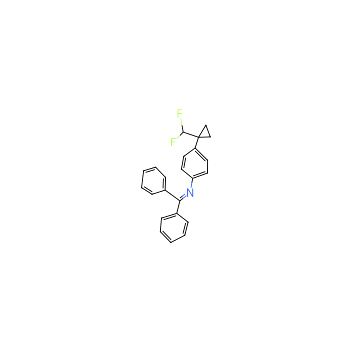 FC(F)C1(c2ccc(N=C(c3ccccc3)c3ccccc3)cc2)CC1